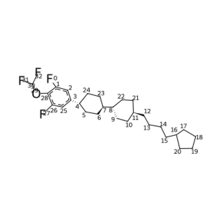 Fc1cc([C@H]2CC[C@H]([C@H]3CC[C@H](CCCCC4CCCC4)CC3)CC2)cc(F)c1OC(F)F